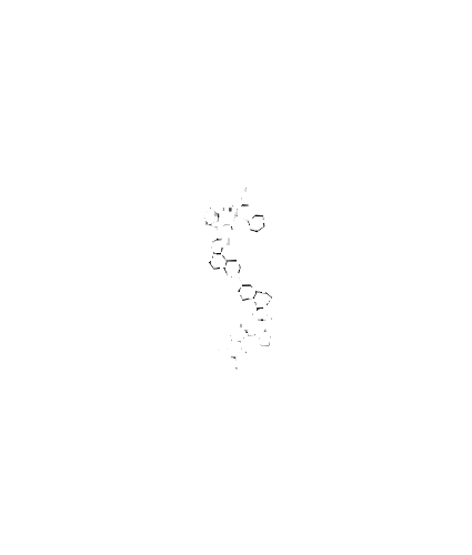 COC(=O)NC(C(=O)N1CCC[C@H]1c1nc2ccc3cc(-c4ccc5c(ccc6nc([C@@H]7[C@H]8CC[C@H](C8)N7C(=O)[C@H](NC(=O)OC)c7ccccc7)[nH]c65)c4)ccc3c2[nH]1)C(C)C